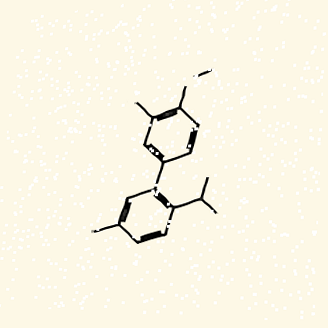 CCC(CC)c1ccc(Cl)cc1-c1ccc(OC(C)C)c(Cl)c1